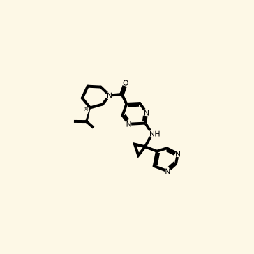 CC(C)[C@H]1CCCN(C(=O)c2cnc(NC3(c4cncnc4)CC3)nc2)C1